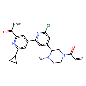 C=CC(=O)N1CCN(C(C)=O)[C@@H](c2cc(Cl)nc(-c3cc(C(=O)NC)nc(C4CC4)c3)c2)C1